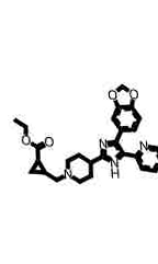 CCOC(=O)C1CC1CN1CCC(c2nc(-c3ccc4c(c3)OCO4)c(-c3ccccn3)[nH]2)CC1